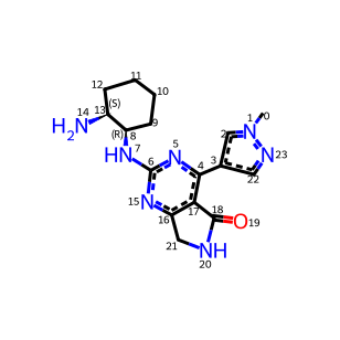 Cn1cc(-c2nc(N[C@@H]3CCCC[C@@H]3N)nc3c2C(=O)NC3)cn1